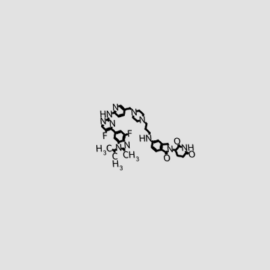 Cc1nc2c(F)cc(-c3nc(Nc4ccc(CN5CCN(CCCNc6ccc7c(c6)CN(C6CCC(=O)NC6=O)C7=O)CC5)cn4)ncc3F)cc2n1C(C)C